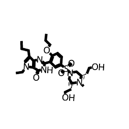 CCCOc1ccc(S(=O)(=O)N2C[C@@H](CCO)N(C)[C@@H](CCO)C2)cc1-c1nc2c(CCC)cn(CC)c2c(=O)[nH]1